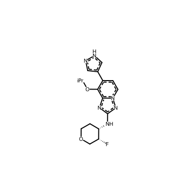 CC(C)Oc1c(-c2cn[nH]c2)ccn2nc(N[C@H]3CCOC[C@H]3F)nc12